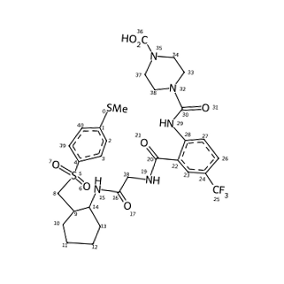 CSc1ccc(S(=O)(=O)CC2CCCCC2NC(=O)CNC(=O)c2cc(C(F)(F)F)ccc2NC(=O)N2CCN(C(=O)O)CC2)cc1